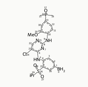 Bc1ccc(Nc2nc(Nc3ccc(P(C)(C)=O)cc3OC)ncc2Cl)c(S(=O)(=O)C(C)C)c1